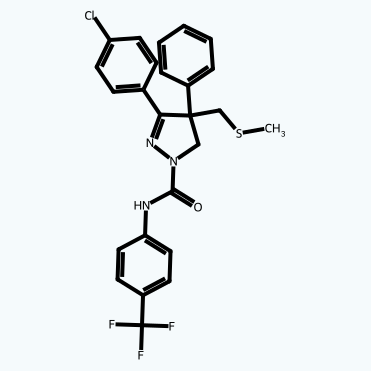 CSCC1(c2ccccc2)CN(C(=O)Nc2ccc(C(F)(F)F)cc2)N=C1c1ccc(Cl)cc1